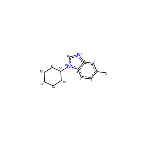 Cc1ccc2c(c1)ncn2C1CCCCC1